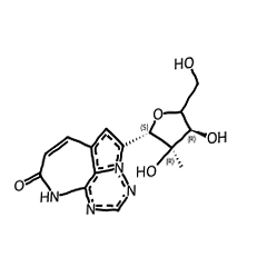 C[C@@]1(O)[C@H](O)C(CO)O[C@H]1c1cc2c3c(ncnn13)NC(=O)C=C2